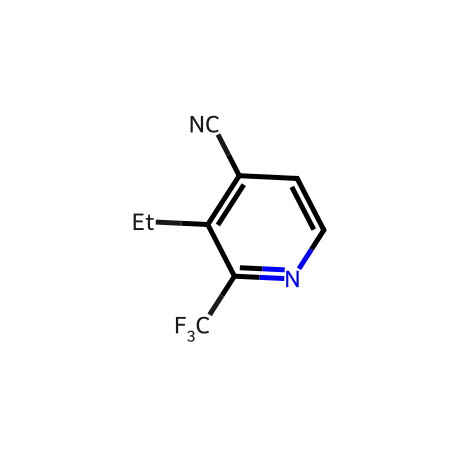 CCc1c(C#N)ccnc1C(F)(F)F